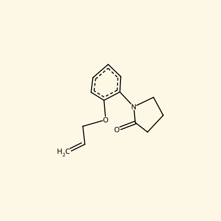 C=CCOc1ccccc1N1CCCC1=O